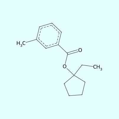 CCC1(OC(=O)c2cccc(C)c2)CCCC1